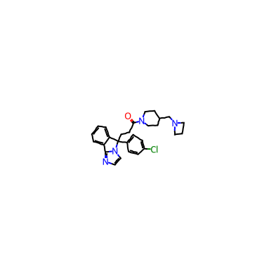 O=C(CCC1(c2ccc(Cl)cc2)c2ccccc2-c2nccn21)N1CCC(CN2CCC2)CC1